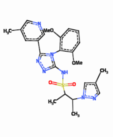 COc1cccc(OC)c1-n1c(NS(=O)(=O)C(C)C(C)n2cc(C)cn2)nnc1-c1cncc(C)c1